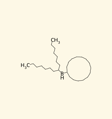 CCCCCCCC(BC1CCCCCCCCCCCCCC1)CCCCCCC